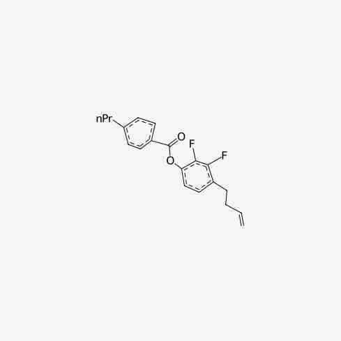 C=CCCc1ccc(OC(=O)c2ccc(CCC)cc2)c(F)c1F